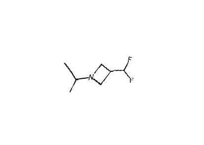 CC(C)N1CC(C(F)F)C1